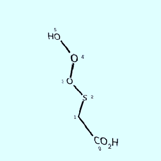 O=C(O)CSOOO